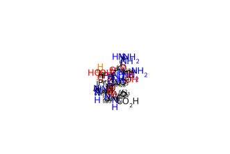 CC(C)[C@H](NC(=O)[C@H](CCCNC(=N)N)NC(=O)[C@@H](N)CC(N)=O)C(=O)N[C@@H](Cc1ccc(O)cc1)C(=O)N[C@H](C(=O)N[C@@H](Cc1cnc[nH]1)C(=O)N1CCC[C@H]1C(=O)N[C@@H](Cc1ccccc1)C(=O)O)C(C)C.O=[PH](O)O